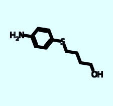 Nc1ccc(SCCCCO)cc1